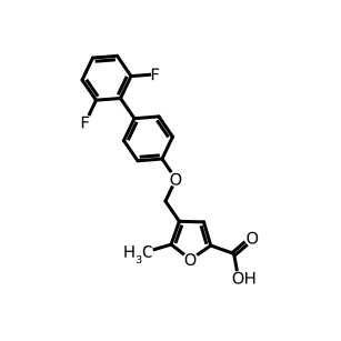 Cc1oc(C(=O)O)cc1COc1ccc(-c2c(F)cccc2F)cc1